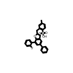 Cc1ccc(S(=O)(=O)O)c(CC2Cc3cc(-c4ccccc4)cc(-c4ccccc4F)c3O2)c1